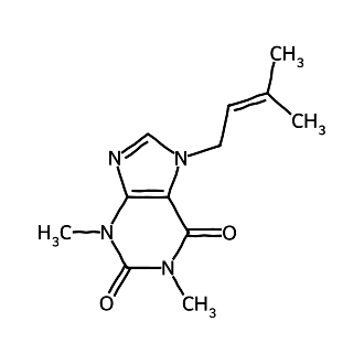 CC(C)=CCn1cnc2c1c(=O)n(C)c(=O)n2C